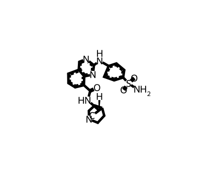 NS(=O)(=O)c1ccc(Nc2ncc3cccc(C(=O)N[C@H]4CN5CCC4CC5)c3n2)cc1